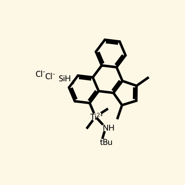 CC1=CC(C)c2c1c1ccccc1c1ccc[c]([Ti+2]([CH3])([CH3])[NH]C(C)(C)C)c21.[Cl-].[Cl-].[SiH4]